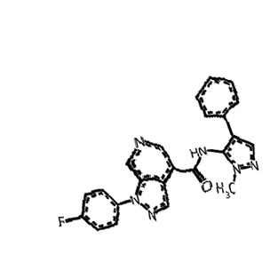 Cn1ncc(-c2ccccc2)c1NC(=O)c1cncc2c1cnn2-c1ccc(F)cc1